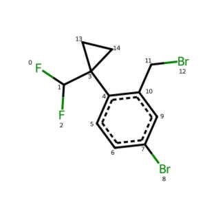 FC(F)C1(c2ccc(Br)cc2CBr)CC1